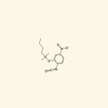 CCCC[Si](C)(C)Oc1cc([N+](=O)[O-])ccc1N=C=O